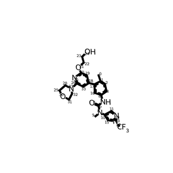 Cc1ccc(NC(=O)N(C)c2cnn(C(F)(F)F)c2)cc1-c1cc(OCCO)nc(N2CCOCC2)c1